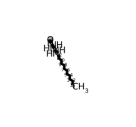 CCCCCCCCCCCCCNNNNN=O